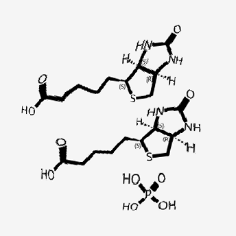 O=C(O)CCCC[C@@H]1SC[C@@H]2NC(=O)N[C@@H]21.O=C(O)CCCC[C@@H]1SC[C@@H]2NC(=O)N[C@@H]21.O=P(O)(O)O